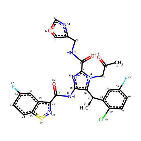 CC(=O)Cn1c(C(=O)NCc2cocn2)nc(NC(=O)c2nsc3ccc(F)cc23)c1[C@H](C)c1cc(F)ccc1Cl